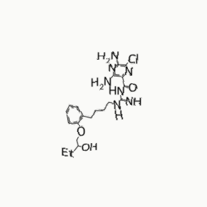 CCC(O)COc1ccccc1CCCCNC(=N)NC(=O)c1nc(Cl)c(N)nc1N